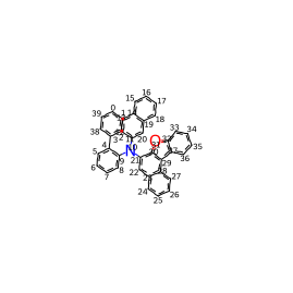 c1ccc(-c2ccccc2N(c2ccc3ccccc3c2)c2cc3ccccc3c3c2oc2ccccc23)cc1